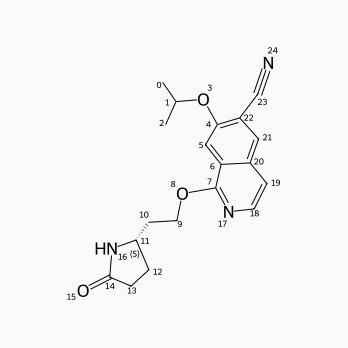 CC(C)Oc1cc2c(OCC[C@@H]3CCC(=O)N3)nccc2cc1C#N